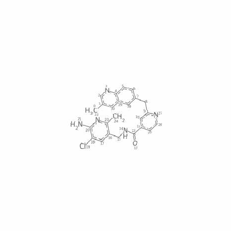 Cc1cnc2ccc(Cc3cc(C(=O)NCc4cc(Cl)c(N)nc4C)ccn3)cc2c1